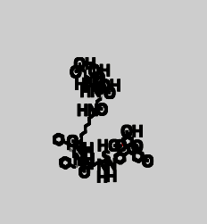 O=C(O)CC[C@H](NC(=O)N[C@@H](CCC(=O)NCCCCCCCC(=O)N[C@@H](CCc1ccccc1)CN[C@@H](Cc1ccccc1)C(=O)NCCNC(=S)Nc1ccc(-c2c3ccc(=O)cc-3oc3cc(O)ccc23)c(C(=O)O)c1)C(=O)O)C(=O)O